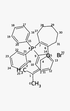 CC(C)=CCOC1=C([P+](c2ccccc2)(c2ccccc2)c2ccccc2)CCCCC1.[Br-]